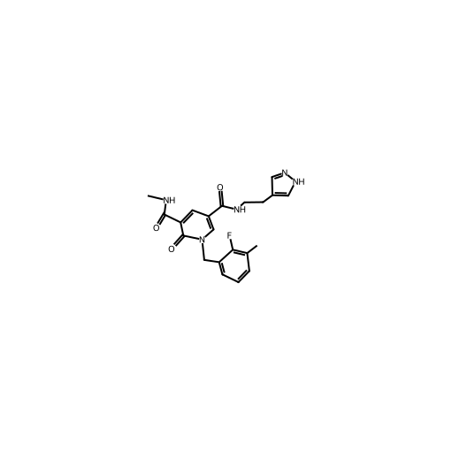 CNC(=O)c1cc(C(=O)NCCc2cn[nH]c2)cn(Cc2cccc(C)c2F)c1=O